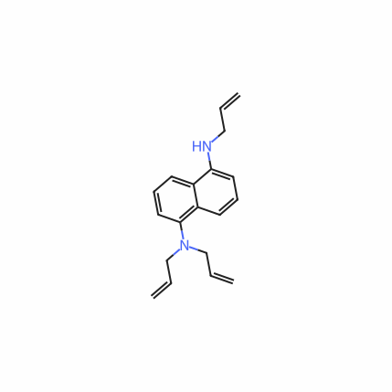 C=CCNc1cccc2c(N(CC=C)CC=C)cccc12